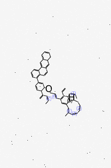 C=CC1=C(/C=C/COC2C=C(c3cccc4c5c(ccc34)=CC3CC=CC=C3C=5)C=CC2C(=C)/C=C\C)C=C2/C=C(C)/C=C\C=C/CC[C@H]2C1/C=C\C